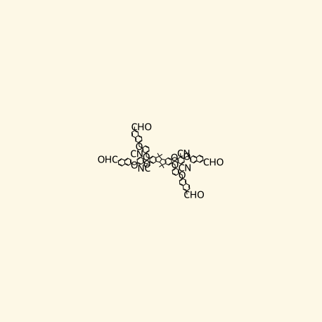 [C-]#[N+]c1c(Oc2ccc3cc(C=O)ccc3c2)cccc1Oc1cc2c(cc1Oc1cccc(Oc3ccc4cc(C=O)ccc4c3)c1[N+]#[C-])C(C)(C)C1c3cc(Oc4cccc(Oc5ccc6cc(C=O)ccc6c5)c4C#N)c(Oc4cccc(Oc5ccc6cc(C=O)ccc6c5)c4C#N)cc3C(C)(C)C21